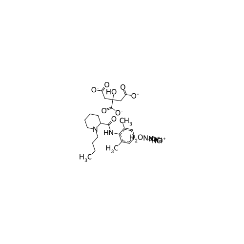 CCCCN1CCCCC1C(=O)Nc1c(C)cccc1C.Cl.O.O=C([O-])CC(O)(CC(=O)[O-])C(=O)[O-].[Na+].[Na+].[Na+]